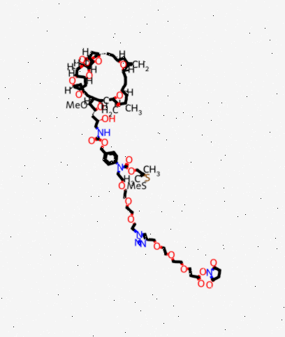 C=C1C[C@@H]2CC[C@@]34C[C@H]5O[C@H]6[C@@H](O3)[C@H]3O[C@H](CC[C@@H]3O[C@H]6[C@H]5O4)CC(=O)C[C@@H]3[C@@H](OC)[C@@H](C[C@H](O)CNC(=O)OCc4ccc(N(CCOCCOCCOCCn5cc(COCCOCCOCCC(=O)ON6C(=O)CCC6=O)nn5)C(=O)OCC(C)(C)SSC)cc4)O[C@H]3C[C@H]3O[C@@H](CC[C@@H]1O2)C[C@@H](C)C3=C